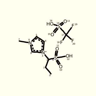 CCC([n+]1ccn(C)c1)S(=O)(=O)O.O=S(=O)(O)C(F)(F)F